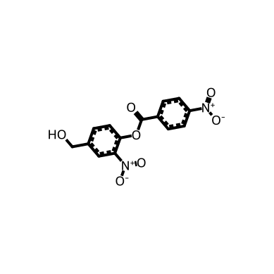 O=C(Oc1ccc(CO)cc1[N+](=O)[O-])c1ccc([N+](=O)[O-])cc1